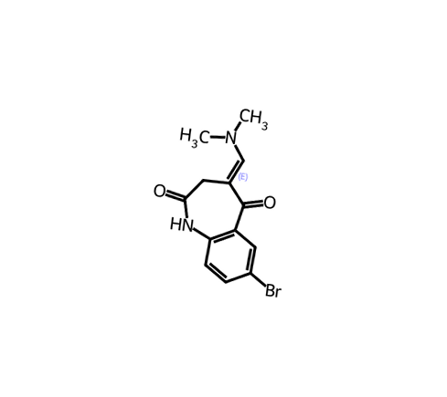 CN(C)/C=C1\CC(=O)Nc2ccc(Br)cc2C1=O